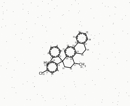 Cc1ccccc1C1(c2ccc(Cl)cc2)CCC(C)c2c1ccc1c2CCc2ccccc2-1